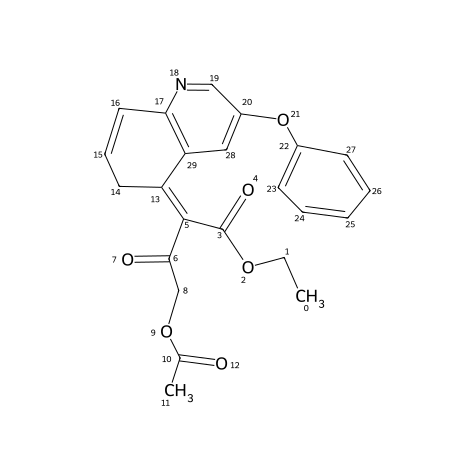 CCOC(=O)C(C(=O)COC(C)=O)=C1CC=Cc2ncc(Oc3ccccc3)cc21